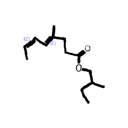 C/C=C\C=C(/C)CCC(=O)OCC(C)CC